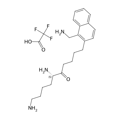 NCCCC[C@H](N)C(=O)CCCCc1ccc2ccccc2c1CN.O=C(O)C(F)(F)F